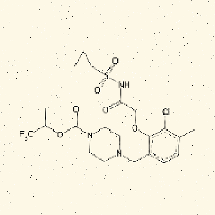 Cc1ccc(CN2CCN(C(=O)OC(C)C(F)(F)F)CC2)c(OCC(=O)NS(=O)(=O)C2CC2)c1Cl